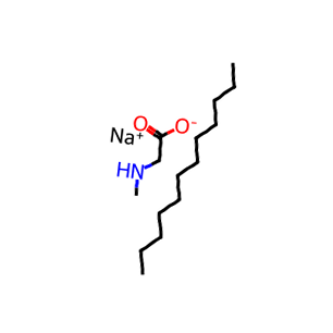 CCCCCCCCCCCC.CNCC(=O)[O-].[Na+]